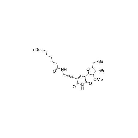 CCCCCCCCCCCCCCCC(=O)NCC#Cc1cn(C2OC(CC(C)CC)C(C(C)C)C2OC)c(=O)[nH]c1=O